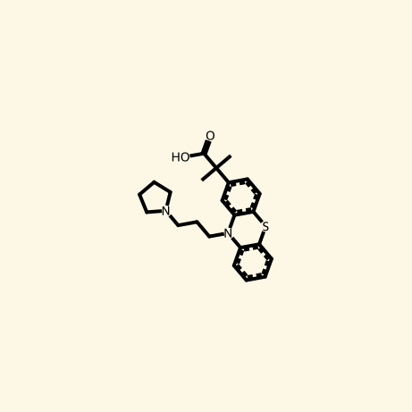 CC(C)(C(=O)O)c1ccc2c(c1)N(CCCN1CCCC1)c1ccccc1S2